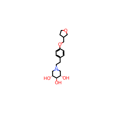 O[C@H]1[C@H](O)CN(CCc2ccc(OCC3CCOC3)cc2)C[C@@H]1O